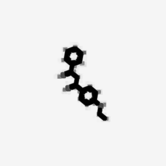 CCOc1ccc(C(=O)CC(=O)c2ccccc2)cc1